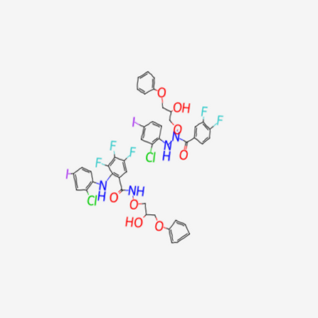 O=C(NOCC(O)COc1ccccc1)c1cc(F)c(F)c(F)c1Nc1ccc(I)cc1Cl.O=C(c1ccc(F)c(F)c1)N(Nc1ccc(I)cc1Cl)OCC(O)COc1ccccc1